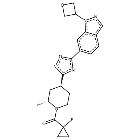 C[C@@H]1C[C@@H](c2noc(-c3ccc4cnn(C5COC5)c4c3)n2)CCN1C(=O)C1(F)CC1